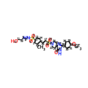 Cc1cc(S(=O)(=O)NCCCCO)ccc1C=CS(=O)(=O)N1CCC2(CC1)N=C(c1ccc(OC(F)(F)F)cc1)NC2=O